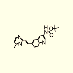 Cc1ccnc(C=Cc2ccc3ncc(NC(=O)OC(C)(C)C)cc3c2)n1